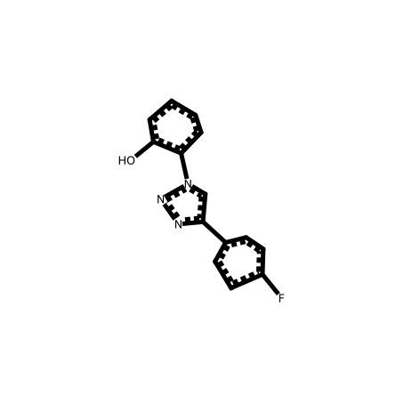 Oc1ccccc1-n1cc(-c2ccc(F)cc2)nn1